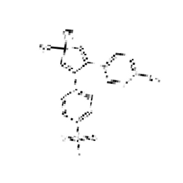 CS(=O)(=O)c1ccc(C2=CC(C(F)(F)F)(C(F)(F)F)C=C2c2ccc(C(F)(F)F)cc2)nc1